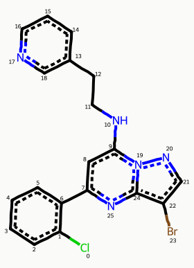 Clc1ccccc1-c1cc(NCCc2cccnc2)n2ncc(Br)c2n1